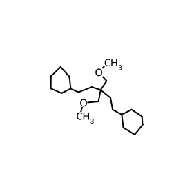 COCC(CCC1CCCCC1)(CCC1CCCCC1)COC